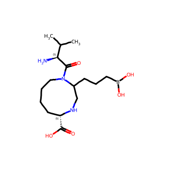 CC(C)[C@H](N)C(=O)N1CCCC[C@@H](C(=O)O)NCC1CCCB(O)O